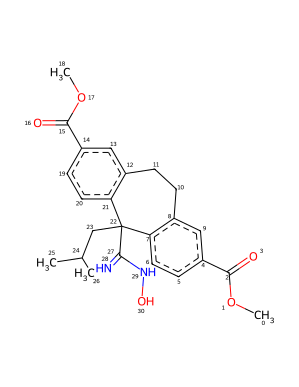 COC(=O)c1ccc2c(c1)CCc1cc(C(=O)OC)ccc1C2(CC(C)C)C(=N)NO